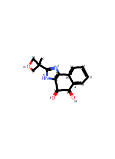 CC1(c2nc3c([nH]2)C(=O)C(=O)c2ccccc2-3)COC1